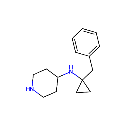 c1ccc(CC2(NC3CCNCC3)CC2)cc1